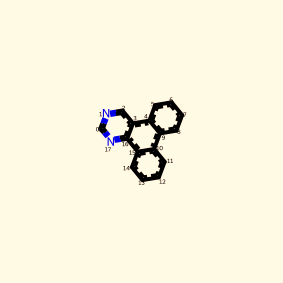 [c]1ncc2c3ccccc3c3ccccc3c2n1